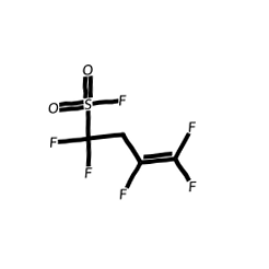 O=S(=O)(F)C(F)(F)CC(F)=C(F)F